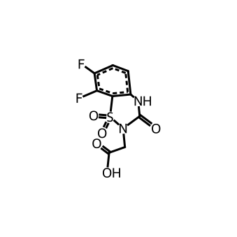 O=C(O)CN1C(=O)Nc2ccc(F)c(F)c2S1(=O)=O